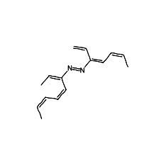 C=CC(=C\C=C/C)/N=N/C(/C=C\C=C/C)=C/C